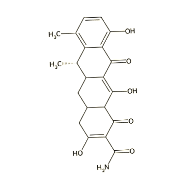 Cc1ccc(O)c2c1[C@@H](C)C1CC3CC(O)=C(C(N)=O)C(=O)C3C(O)=C1C2=O